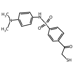 CN(C)c1ccc(NS(=O)(=O)c2ccc(C(=O)CS)cc2)cc1